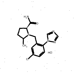 CC1CC[C@@H](C(N)=O)N1Cc1cc(Cl)ccc1-n1cncn1.Cl